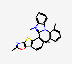 Cc1nc2sc3c(-c4n(-c5c(C)cccc5C)c5ccccc5[n+]4C)c(C)ccc3c2o1